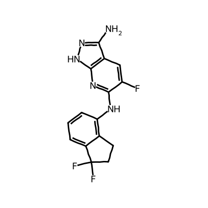 Nc1n[nH]c2nc(Nc3cccc4c3CCC4(F)F)c(F)cc12